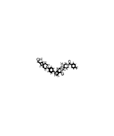 O=C(c1ccc(F)cc1)N1CCC(O)(Cn2cnc3c(cnn3-c3ccc(N4CCC5(CC4)CC(CO)C5)cc3)c2=O)CC1